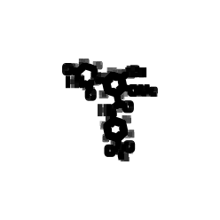 COc1c(C(=O)Nc2ccc(S(C)(=O)=O)cc2)cc(N2CCC(=O)NC2=O)cc1C(C)(C)C